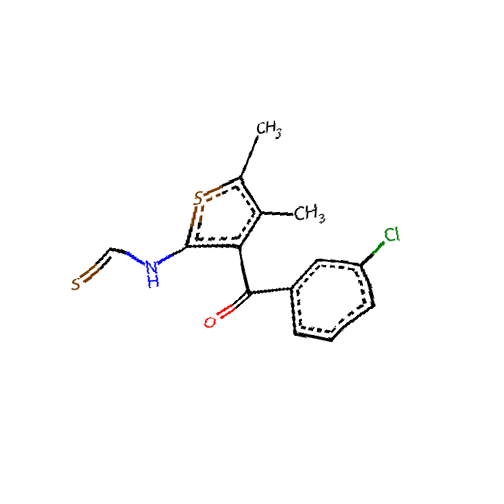 Cc1sc(NC=S)c(C(=O)c2cccc(Cl)c2)c1C